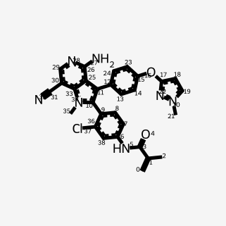 C=C(C)C(=O)Nc1ccc(-c2c(-c3ccc(Oc4ccn(C)n4)cc3)c3c(N)ncc(C#N)c3n2C)c(Cl)c1